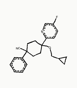 N#CC1(c2ccccc2)CCC(OCC2CC2)(c2ccc(F)cn2)CC1